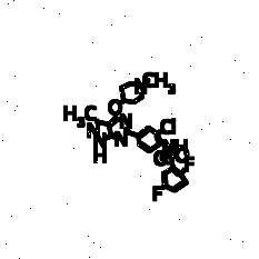 Cc1n[nH]c2nc(-c3ccc(NS(=O)(=O)c4cc(F)ccc4F)c(Cl)c3)nc(OC3CCN(C)CC3)c12